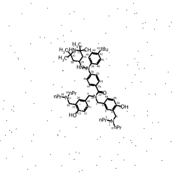 CCCN(CCC)Cc1cc(CN(Cc2ccc(O)c(CN(CCC)CCC)c2)C(=O)c2ccc(N(NC3CC(C)(C)NC(C)(C)C3)c3ccc(C(C)(C)C)cc3)cc2)ccc1O